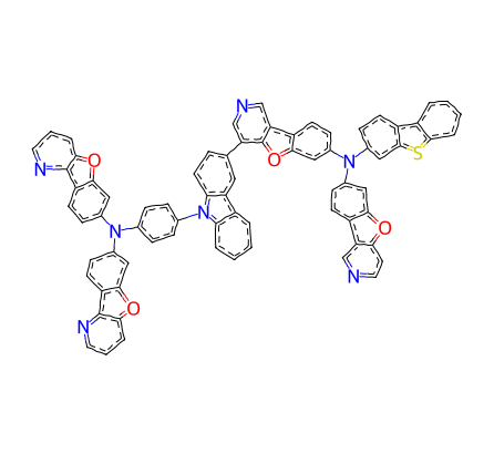 c1cnc2c(c1)oc1cc(N(c3ccc(-n4c5ccccc5c5cc(-c6cncc7c6oc6cc(N(c8ccc9c(c8)oc8ccncc89)c8ccc9c(c8)sc8ccccc89)ccc67)ccc54)cc3)c3ccc4c(c3)oc3cccnc34)ccc12